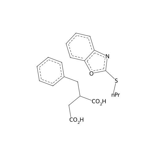 CCCSc1nc2ccccc2o1.O=C(O)CC(Cc1ccccc1)C(=O)O